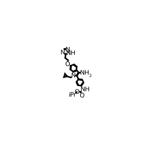 CC(C)OC(=O)Nc1ccc(-c2c(N)c3ccc(OCCc4ncn[nH]4)cc3n2CC2CC2)cc1